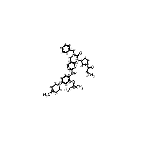 C=CC(=O)N1CC[C@H](N2C(=O)N(Cc3ccccc3)Cc3cnc(Nc4ccc(N5CCN(C)CC5)cc4OC(C)C)nc32)C1